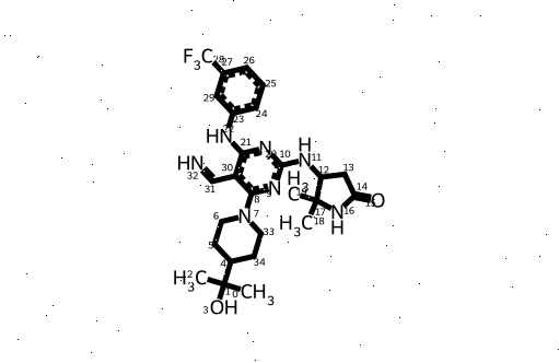 CC(C)(O)C1CCN(c2nc(NC3CC(=O)NC3(C)C)nc(Nc3cccc(C(F)(F)F)c3)c2C=N)CC1